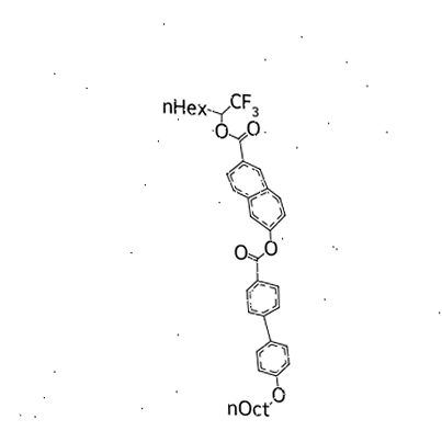 CCCCCCCCOc1ccc(-c2ccc(C(=O)Oc3ccc4cc(C(=O)OC(CCCCCC)C(F)(F)F)ccc4c3)cc2)cc1